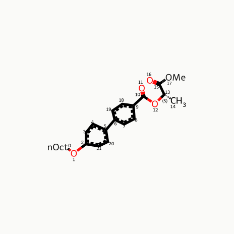 CCCCCCCCOc1ccc(-c2ccc(C(=O)O[C@@H](C)C(=O)OC)cc2)cc1